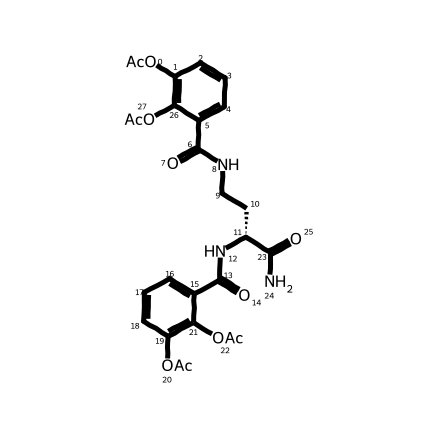 CC(=O)Oc1cccc(C(=O)NCC[C@@H](NC(=O)c2cccc(OC(C)=O)c2OC(C)=O)C(N)=O)c1OC(C)=O